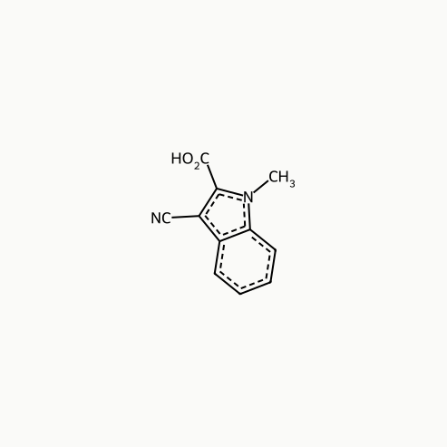 Cn1c(C(=O)O)c(C#N)c2ccccc21